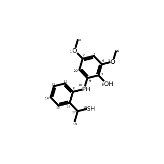 COc1cc(OC)c(O)c(Pc2ccccc2C(C)S)c1